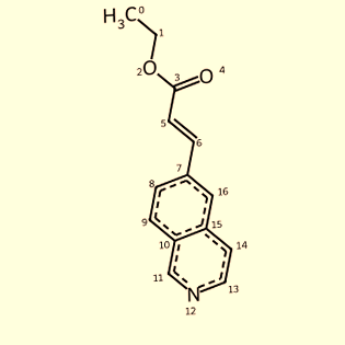 CCOC(=O)/C=C/c1ccc2cnccc2c1